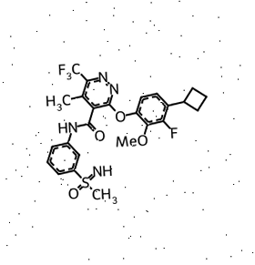 COc1c(Oc2nnc(C(F)(F)F)c(C)c2C(=O)Nc2cccc(S(C)(=N)=O)c2)ccc(C2CCC2)c1F